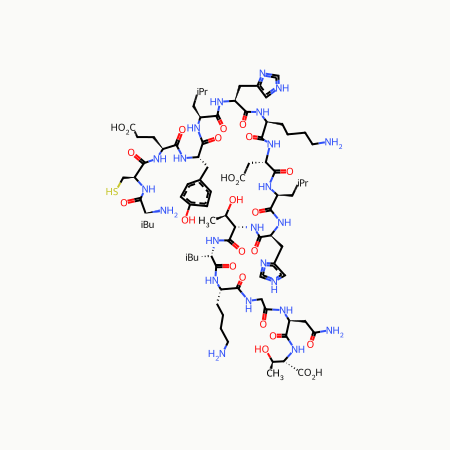 CC[C@H](C)[C@H](N)C(=O)N[C@@H](CS)C(=O)N[C@@H](CCC(=O)O)C(=O)N[C@@H](Cc1ccc(O)cc1)C(=O)N[C@@H](CC(C)C)C(=O)N[C@@H](Cc1c[nH]cn1)C(=O)N[C@@H](CCCCN)C(=O)N[C@@H](CC(=O)O)C(=O)N[C@@H](CC(C)C)C(=O)N[C@@H](Cc1c[nH]cn1)C(=O)N[C@H](C(=O)N[C@H](C(=O)N[C@@H](CCCCN)C(=O)NCC(=O)N[C@@H](CC(N)=O)C(=O)N[C@H](C(=O)O)[C@@H](C)O)[C@@H](C)CC)[C@@H](C)O